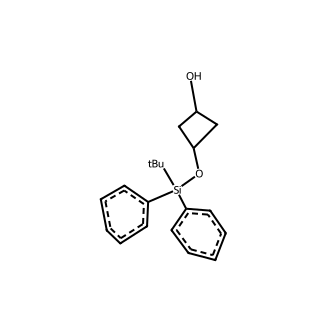 CC(C)(C)[Si](OC1CC(O)C1)(c1ccccc1)c1ccccc1